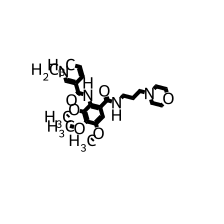 C=N/C=C(\C=C/C)C(=O)Nc1c(C(=O)NCCCN2CCOCC2)cc(OC)c(OC)c1OC